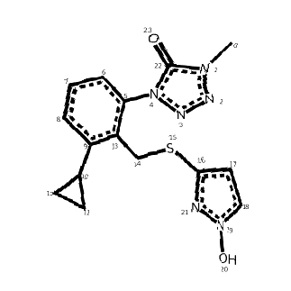 Cn1nnn(-c2cccc(C3CC3)c2CSc2ccn(O)n2)c1=O